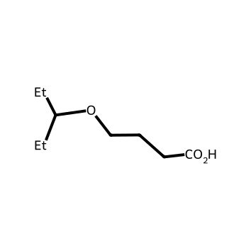 CCC(CC)OCCCC(=O)O